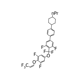 CCCC1CCC(c2ccc(-c3cc(F)c(C(F)(F)Oc4cc(F)c(O/C=C\C(F)(F)F)c(F)c4)c(F)c3)cc2)CC1